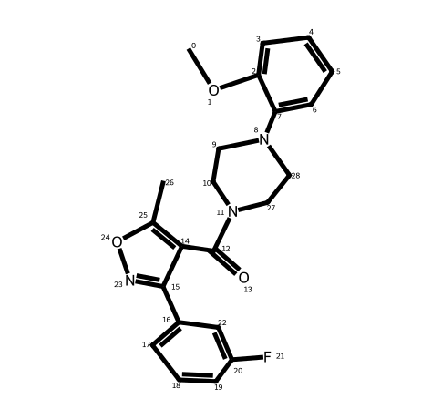 COc1ccccc1N1CCN(C(=O)c2c(-c3cccc(F)c3)noc2C)CC1